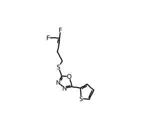 FC(F)=CCCSc1nnc(-c2cccs2)o1